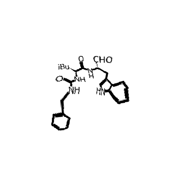 CC[C@H](C)[C@H](NC(=O)NCc1ccccc1)C(=O)N[C@H](C=O)Cc1c[nH]c2ccccc12